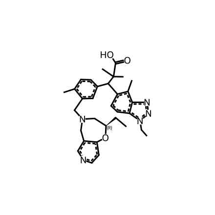 CC[C@@H]1CN(Cc2cc(C(c3ccc4c(nnn4CC)c3C)C(C)(C)C(=O)O)ccc2C)Cc2cnccc2O1